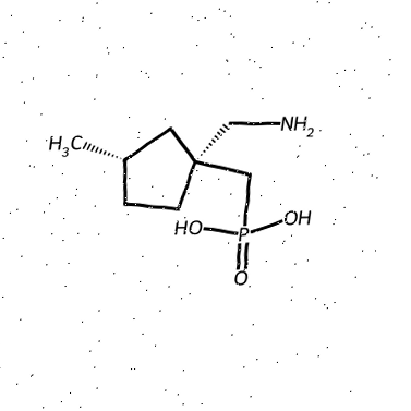 C[C@H]1CC[C@](CN)(CP(=O)(O)O)C1